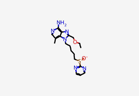 CCOCc1nc2c(N)ncc(C)c2n1CCCCC[S+]([O-])c1ncccn1